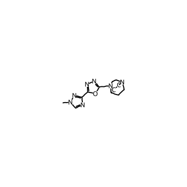 Cn1cnc(-c2nnc(N3CCN4CCC3CC4)o2)n1